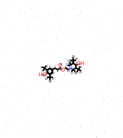 CC(C)(C)c1cc(CCC(=O)OCCN2C(C)(C)C(C(C)(C)C)C(O)C(C(C)(C)C)C2(C)C)cc(C(C)(C)C)c1O